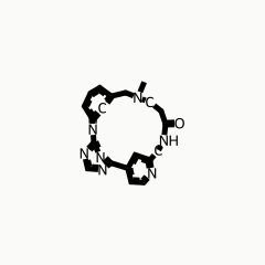 CN1CCC(=O)NCc2cc(ccn2)-c2ncnc(n2)Nc2cccc(c2)C1